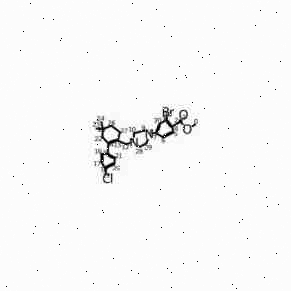 COC(=O)c1ccc(N2CCN(CC3=C(c4ccc(Cl)cc4)CC(C)(C)CC3)CC2)cc1Br